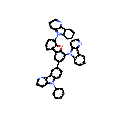 C1=Cc2c(n(-c3cccc4c3oc3c(-n5c6ccccc6c6ncccc65)cc(-c5ccc6c(c5)c5ncccc5n6-c5ccccc5)cc34)c3cccnc23)CC1